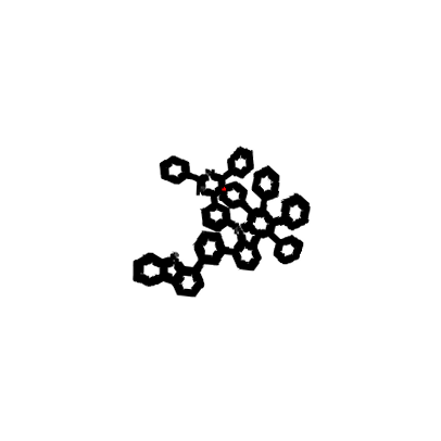 c1ccc(-c2cc(-c3cccc(-n4c5c(-c6cccc(-c7cccc8c7sc7ccccc78)c6)cccc5c5c(-c6ccccc6)c(-c6ccccc6)c(-c6ccccc6)c(-c6ccccc6)c54)c3)nc(-c3ccccc3)n2)cc1